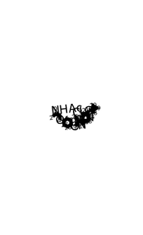 CC(=O)N[C@@H](C)CO[C@H]1CC[C@H](Oc2nc3cnc(OC4(C)CC4)c(Cl)c3n2C)CC1